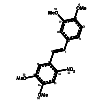 COc1ccc(/C=C/c2cc(OC)c(OC)cc2[N+](=O)[O-])cc1OC